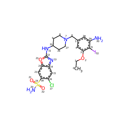 CCOc1cc(CN2CCC(Nc3nc4cc(Cl)c(S(N)(=O)=O)cc4o3)CC2)cc(N)c1I